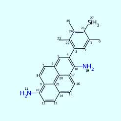 Cc1cc(-c2cc3ccc4c(N)ccc5ccc(c2N)c3c54)c(C)c(C)c1[SiH3]